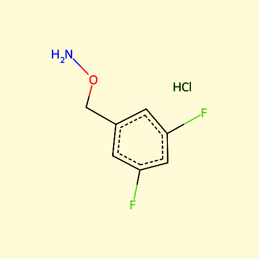 Cl.NOCc1cc(F)cc(F)c1